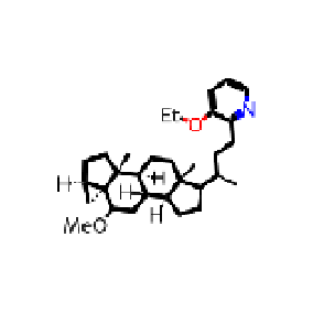 CCOc1cccnc1CC[C@@H](C)[C@H]1CC[C@H]2[C@@H]3CC(OC)[C@@]45C[C@H]4CC[C@]5(C)[C@H]3CC[C@]12C